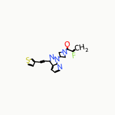 C=C(F)C(=O)N1CC(n2nc(C#Cc3ccsc3)c3cccnc32)C1